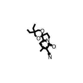 CCC1(CC)COC2(CCn3c2cc(C)c(C#N)c3=O)OC1